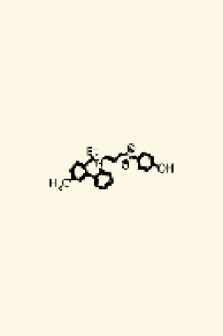 CCC1c2ccc(C)cc2-c2ccccc2N1C=CCS(=O)(=O)c1ccc(O)cc1